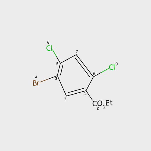 CCOC(=O)c1cc(Br)c(Cl)cc1Cl